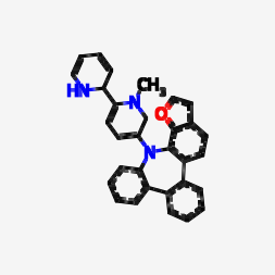 CN1CC(N2c3ccccc3-c3ccccc3-c3ccc4ccoc4c32)=CC=C1C1C=CC=CN1